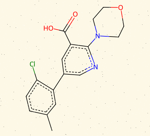 Cc1ccc(Cl)c(-c2cnc(N3CCOCC3)c(C(=O)O)c2)c1